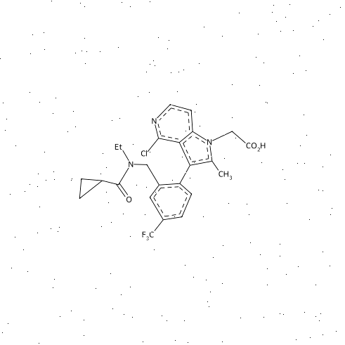 CCN(Cc1cc(C(F)(F)F)ccc1-c1c(C)n(CC(=O)O)c2ccnc(Cl)c12)C(=O)C1CC1